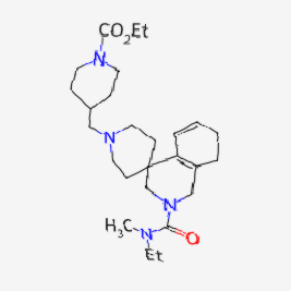 CCOC(=O)N1CCC(CN2CCC3(CC2)CN(C(=O)N(C)CC)CC2=C3C=CCC2)CC1